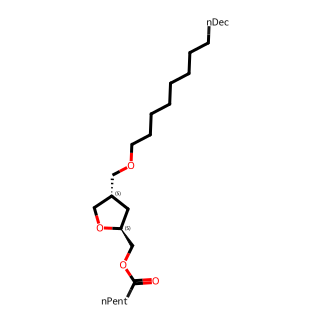 [CH2]CCCCC(=O)OC[C@@H]1C[C@@H](COCCCCCCCCCCCCCCCCCC)CO1